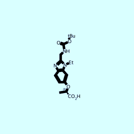 CCn1c(CNC(=O)OC(C)(C)C)nc2ccc(O[C@H](C)C(=O)O)cc21